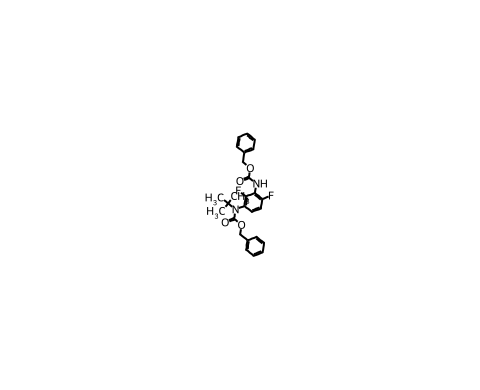 CC(C)(C)N(C(=O)OCc1ccccc1)c1ccc(F)c(NC(=O)OCc2ccccc2)c1F